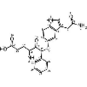 NC(=O)Cc1c[nH]c2ccc(OC(C(=O)C(N)CCC(=O)O)c3ccccc3)cc12